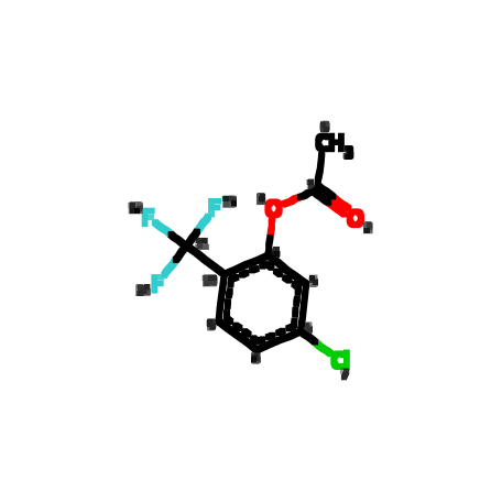 CC(=O)Oc1cc(Cl)ccc1C(F)(F)F